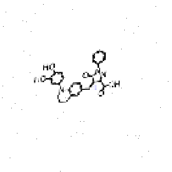 O=C(O)C1=NN(c2ccccc2)C(=O)/C1=C\c1ccc2c(c1)CCCN2c1ccc(O)c(O)c1